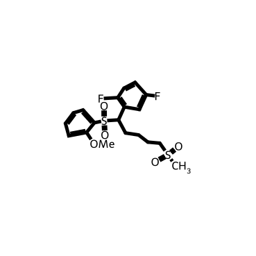 COc1ccccc1S(=O)(=O)C(CCCCS(C)(=O)=O)c1cc(F)ccc1F